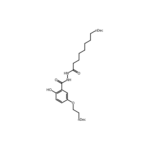 CCCCCCCCCCCCCCCCCC(=O)NNC(=O)c1cc(OCCCCCCCCCCCC)ccc1O